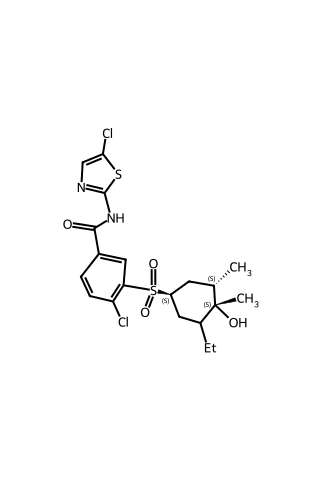 CCC1C[C@@H](S(=O)(=O)c2cc(C(=O)Nc3ncc(Cl)s3)ccc2Cl)C[C@H](C)[C@]1(C)O